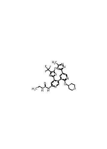 CCNC(=O)Nc1cc(-c2nc(C(F)(F)F)c(C)s2)c(-c2cc(-c3nnc(C)o3)cnc2OC2CCOCC2)cn1